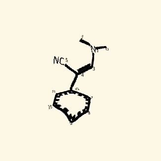 CN(C)/C=C(\C#N)c1ccccc1